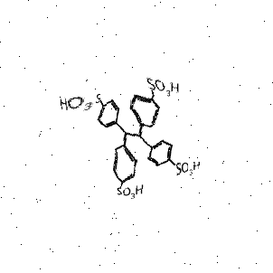 O=S(=O)(O)c1ccc(C(c2ccc(S(=O)(=O)O)cc2)C(c2ccc(S(=O)(=O)O)cc2)c2ccc(S(=O)(=O)O)cc2)cc1